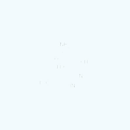 CCCc1[nH]cnc1C(C)(C)CC(N)=O